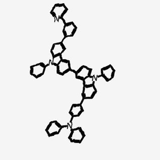 c1ccc(N(c2ccccc2)c2ccc(-c3ccc4c(c3)c3cc(-c5ccc6c(c5)c5cc(-c7cccc(-c8ccccn8)c7)ccc5n6-c5ccccc5)ccc3n4-c3ccccc3)cc2)cc1